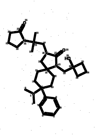 CN(C)C1(c2ccccc2)CCC2(CC1)CN(CC(C)(C)N1CCCC1=O)C(=O)N2CC1(O)CCC1